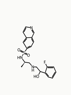 C[C@H](CNCC(O)c1ccccc1F)NS(=O)(=O)c1ccc2cnccc2c1